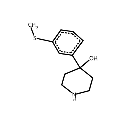 CSc1cccc(C2(O)CCNCC2)c1